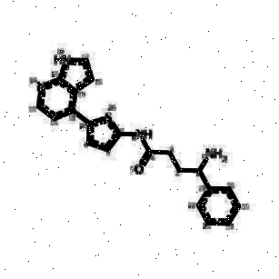 NC(CCC(=O)Nc1ccc(-c2ccnc3[nH]ccc23)s1)c1ccccc1